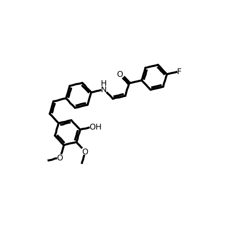 COc1cc(/C=C\c2ccc(N/C=C\C(=O)c3ccc(F)cc3)cc2)cc(O)c1OC